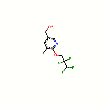 Cc1cc(CO)cnc1OCC(F)(F)C(F)F